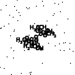 C=C(C)C(=O)Oc1ccc(-c2ccc(-c3ccc(OC(=O)C(=C)C)c(OC(=O)C(=C)C)c3)c(OCC3CCC(O)CC3)c2)cc1OC(=O)C(=C)C